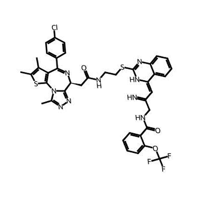 Cc1sc2c(c1C)C(c1ccc(Cl)cc1)=N[C@@H](CC(=O)NCCSC1=Nc3ccccc3/C(=C/C(=N)CNC(=O)c3ccccc3OC(F)(F)F)N1)c1nnc(C)n1-2